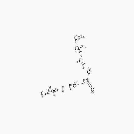 [Co+2].[Co+2].[Co+2].[Co+2].[F-].[F-].[F-].[F-].[F-].[F-].[O]=[Ti]([O-])[O-]